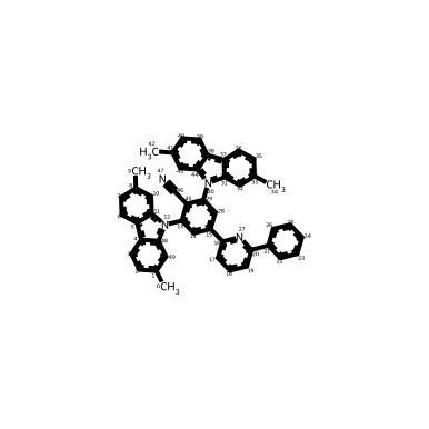 Cc1ccc2c3ccc(C)cc3n(-c3cc(-c4cccc(-c5ccccc5)n4)cc(-n4c5cc(C)ccc5c5ccc(C)cc54)c3C#N)c2c1